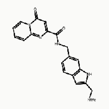 CNCc1cc2ccc(CNC(=O)c3cc(=O)n4ccccc4n3)cc2[nH]1